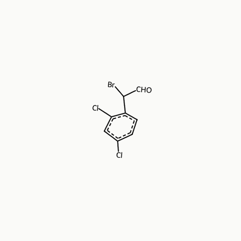 O=CC(Br)c1ccc(Cl)cc1Cl